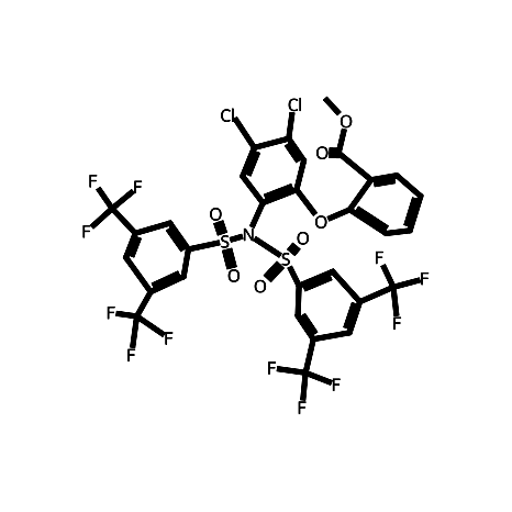 COC(=O)c1ccccc1Oc1cc(Cl)c(Cl)cc1N(S(=O)(=O)c1cc(C(F)(F)F)cc(C(F)(F)F)c1)S(=O)(=O)c1cc(C(F)(F)F)cc(C(F)(F)F)c1